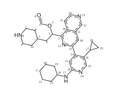 O=COC(CC1CCNCC1)c1nc(-c2cc(NC3CCCCC3)ncc2C2CC2)cc2cnccc12